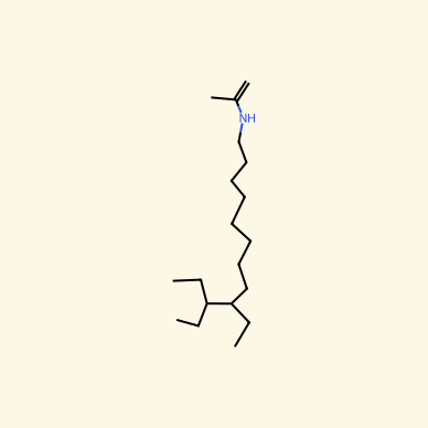 C=C(C)NCCCCCCCCC(CC)C(CC)CC